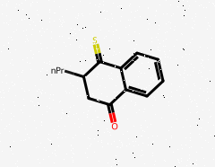 CCCC1CC(=O)c2ccccc2C1=S